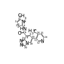 Cc1csc(NC(=O)c2cc(-c3cnccc3C)cn3cnnc23)n1